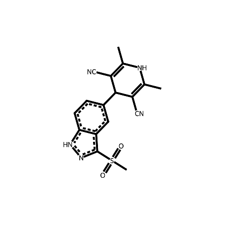 CC1=C(C#N)C(c2ccc3[nH]nc(S(C)(=O)=O)c3c2)C(C#N)=C(C)N1